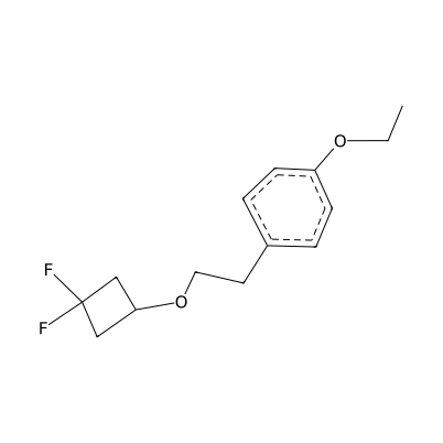 CCOc1ccc(CCOC2CC(F)(F)C2)cc1